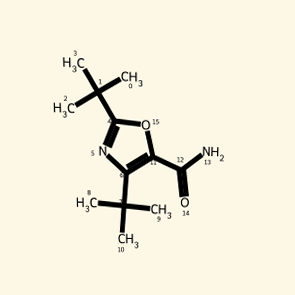 CC(C)(C)c1nc(C(C)(C)C)c(C(N)=O)o1